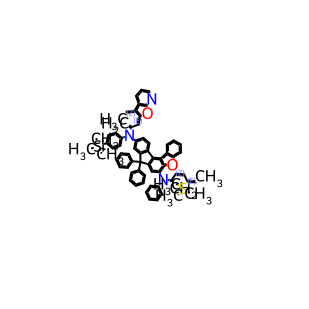 C=C(/C=c1/oc2ncccc2/c1=C/C)N(c1ccc([Si](C)(C)C)cc1)c1ccc2c(c1)C(c1ccccc1)(c1ccccc1)c1cc(N(C(=C)/C=C\C(=C/C)S(C)(C)C)c3ccccc3)c3oc4ccccc4c3c1-2